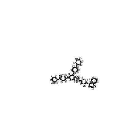 c1ccc(-c2ccc(-c3cc(-c4ccc(-c5ccccc5)cc4)c4nn(-c5ccc(-c6ccnc7ccccc67)cc5)nc4c3)cc2)cc1